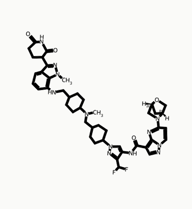 CN(CC1CCC(n2cc(NC(=O)c3cnn4ccc(N5C[C@H]6C[C@@H]5CO6)nc34)c(C(F)F)n2)CC1)C1CCC(CNc2cccc3c(C4CCC(=O)NC4=O)nn(C)c23)CC1